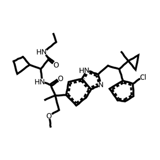 CCNC(=O)C(NC(=O)C(C)(COC)c1ccc2nc(CC(c3ccccc3Cl)C3(C)CC3)[nH]c2c1)C1CCC1